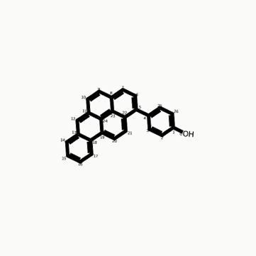 Oc1ccc(-c2ccc3ccc4cc5ccccc5c5ccc2c3c45)cc1